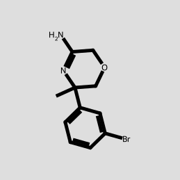 CC1(c2cccc(Br)c2)COCC(N)=N1